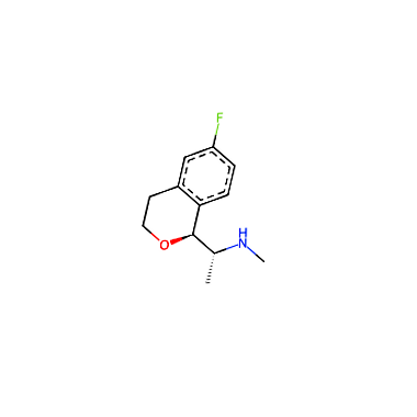 CN[C@H](C)[C@H]1OCCc2cc(F)ccc21